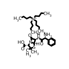 CC1(C)S[C@@H]2[C@H](NC(=O)[C@H](N)c3ccccc3)C(=O)N2[C@H]1C(=O)O.CCCC[N+](CCCC)(CCCC)CCCC